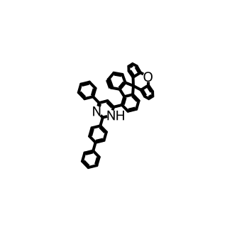 c1ccc2c(c#1)-c1c(C3=CC(c4ccccc4)=NC(c4ccc(-c5ccccc5)cc4)N3)cccc1C21c2ccccc2Oc2ccccc21